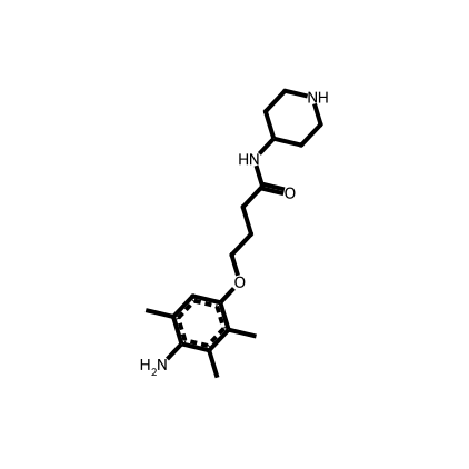 Cc1cc(OCCCC(=O)NC2CCNCC2)c(C)c(C)c1N